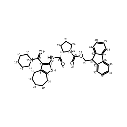 O=C(Nc1sc2c(c1C(=O)N1CCCCC1)CCCCC2)[C@@H]1CCCN1C(=O)OCC1c2ccccc2-c2ccccc21